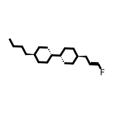 CCCC[C@H]1CC[C@H]([C@H]2CC[C@H](CC=CF)CC2)CC1